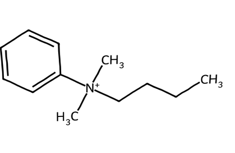 CCCC[N+](C)(C)c1ccccc1